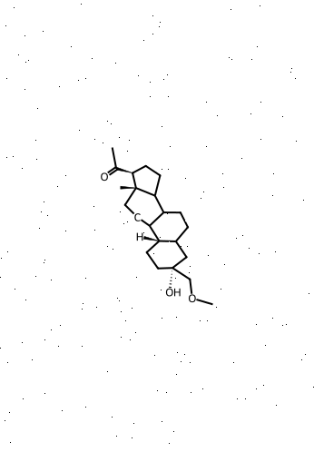 COC[C@@]1(O)CC[C@H]2C(CCC3C2CC[C@@]2(C)C3CC[C@@H]2C(C)=O)C1